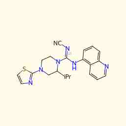 CC(C)C1CN(c2nccs2)CCN1/C(=N\C#N)Nc1cccc2ncccc12